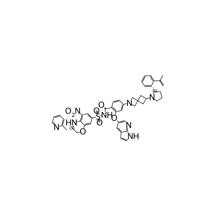 C=C(C)c1ccccc1[C@@H]1CCCN1C1CC2(C1)CN(c1ccc(C(=O)NS(=O)(=O)c3cc4c(c([N+](=O)[O-])c3)N[C@@H](Cc3ccccn3)CO4)c(Oc3cnc4[nH]ccc4c3)c1)C2